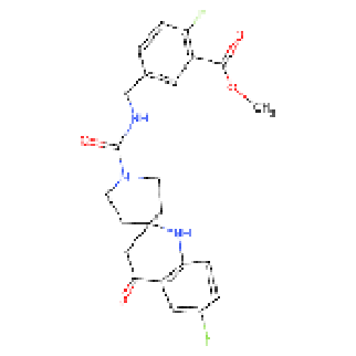 COC(=O)c1cc(CNC(=O)N2CCC3(CC2)CC(=O)c2cc(F)ccc2N3)ccc1F